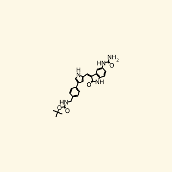 CC(C)(C)OC(=O)NCc1ccc(-c2c[nH]c(C=C3C(=O)Nc4ccc(NC(N)=O)cc43)c2)cc1